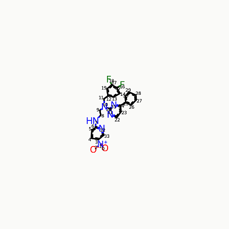 O=[N+]([O-])c1ccc(NCCN(Cc2ccc(F)c(F)c2)c2nccc(-c3cc[c]cc3)n2)nc1